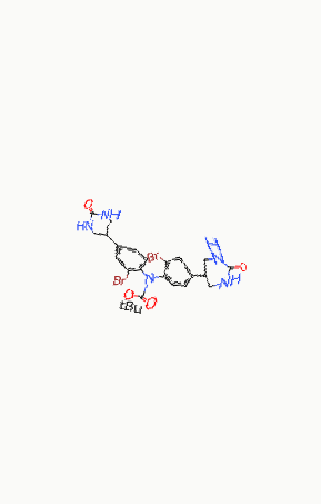 CC(C)(C)OC(=O)N(c1ccc(C2CNC(=O)NC2)cc1Br)c1ccc(C2CNC(=O)NC2)cc1Br